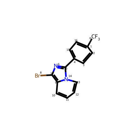 FC(F)(F)c1ccc(-c2nc(Br)c3ccccn23)cc1